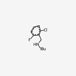 CCC(C)NCc1c(F)cccc1Cl